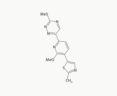 COc1nc(-c2cnc(SC)nn2)ccc1-c1cnc(C)s1